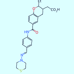 CCC1Oc2ccc(C(=O)Nc3ccc(C=NN4CCSCC4)cc3)cc2CC1CC(=O)O